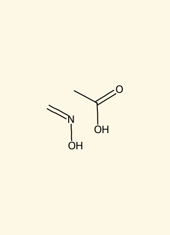 C=NO.CC(=O)O